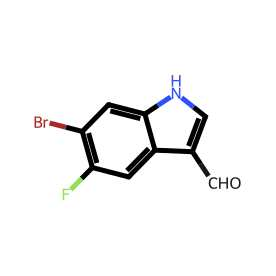 O=Cc1c[nH]c2cc(Br)c(F)cc12